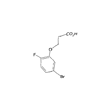 O=C(O)CCOc1cc(Br)ccc1F